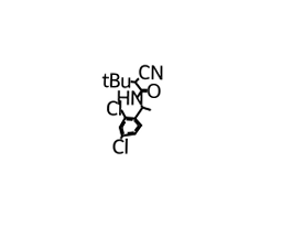 CC(NC(=O)C(C#N)C(C)(C)C)c1ccc(Cl)cc1Cl